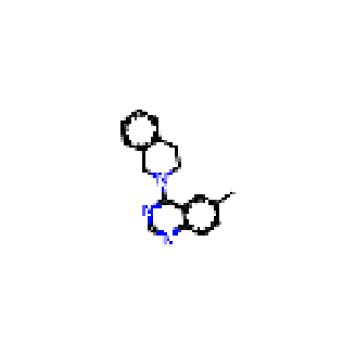 Cc1ccc2ncnc(N3CCc4ccccc4C3)c2c1